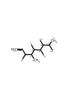 C=CC(I)C(C)C(I)C(I)C(I)C(C)I